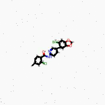 Cc1ccc(C(=O)Nc2ccc(-c3cc4c(cc3Br)OCO4)cn2)c(Cl)c1